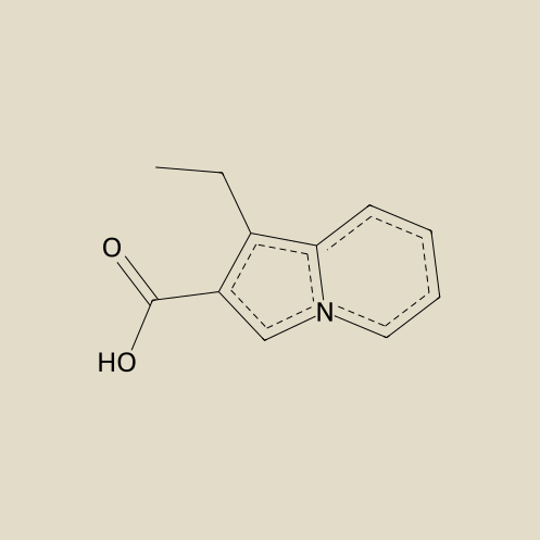 CCc1c(C(=O)O)cn2ccccc12